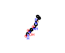 O=C(CC1CCN(c2cnc(-c3cccc4ccccc34)s2)CC1)Nc1ccc2c(c1)CN(C1CCC(=O)NC1O)C2=O